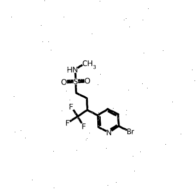 CNS(=O)(=O)CCC(c1ccc(Br)nc1)C(F)(F)F